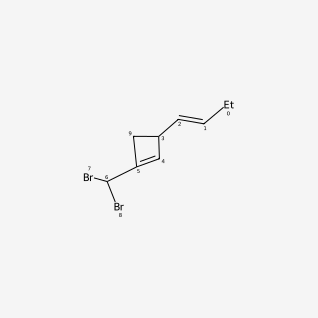 CC/C=C/C1C=C(C(Br)Br)C1